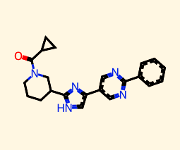 O=C(C1CC1)N1CCCC(c2nc(-c3cnc(-c4ccccc4)nc3)c[nH]2)C1